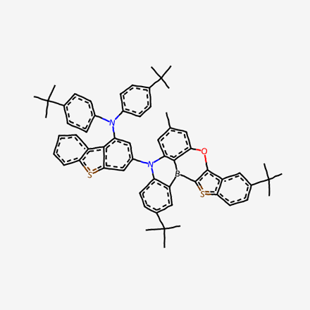 Cc1cc2c3c(c1)N(c1cc(N(c4ccc(C(C)(C)C)cc4)c4ccc(C(C)(C)C)cc4)c4c(c1)sc1ccccc14)c1ccc(C(C)(C)C)cc1B3c1sc3ccc(C(C)(C)C)cc3c1O2